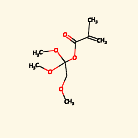 C=C(C)C(=O)OC(COC)(OC)OC